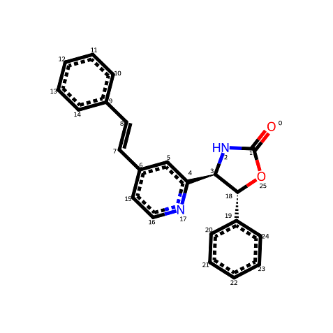 O=C1N[C@H](c2cc(C=Cc3ccccc3)ccn2)[C@@H](c2ccccc2)O1